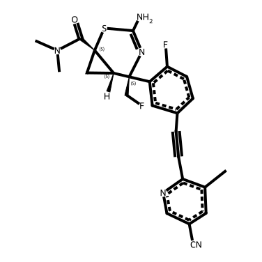 Cc1cc(C#N)cnc1C#Cc1ccc(F)c([C@@]2(CF)N=C(N)S[C@@]3(C(=O)N(C)C)C[C@H]32)c1